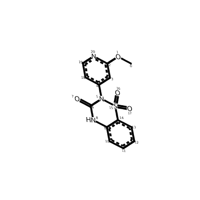 COc1cc(N2C(=O)Nc3ccccc3S2(=O)=O)ccn1